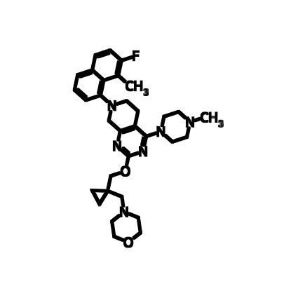 Cc1c(F)ccc2cccc(N3CCc4c(nc(OCC5(CN6CCOCC6)CC5)nc4N4CCN(C)CC4)C3)c12